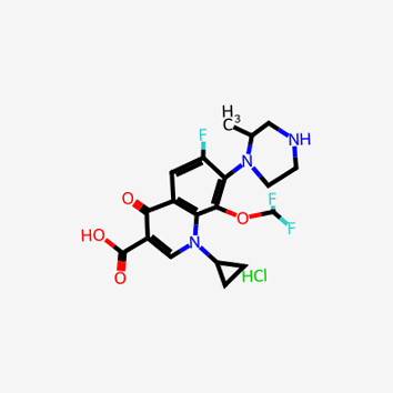 CC1CNCCN1c1c(F)cc2c(=O)c(C(=O)O)cn(C3CC3)c2c1OC(F)F.Cl